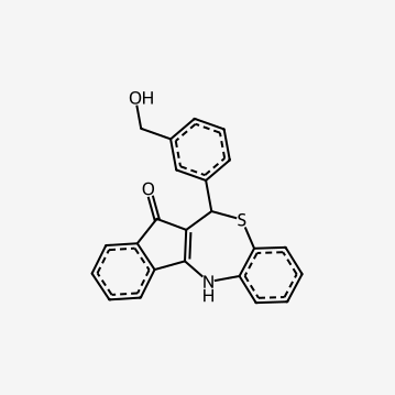 O=C1C2=C(Nc3ccccc3SC2c2cccc(CO)c2)c2ccccc21